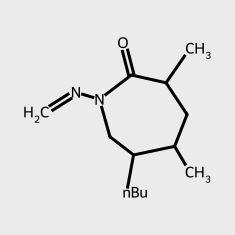 C=NN1CC(CCCC)C(C)CC(C)C1=O